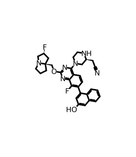 N#CC[C@H]1CN(c2nc(OC[C@@]34CCCN3C[C@H](F)C4)nc3c(F)c(-c4cc(O)cc5ccccc45)ccc23)CCN1